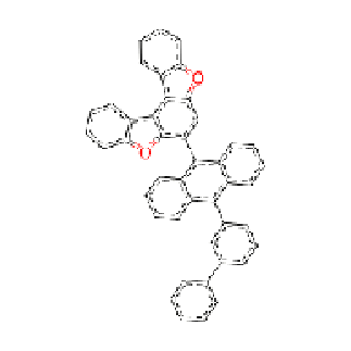 c1ccc(-c2cccc(-c3c4ccccc4c(-c4cc5oc6ccccc6c5c5c4oc4ccccc45)c4ccccc34)c2)cc1